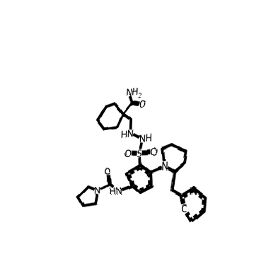 NC(=O)C1(CNNS(=O)(=O)c2cc(NC(=O)N3CCCC3)ccc2N2CCCCC2Cc2ccccc2)CCCCC1